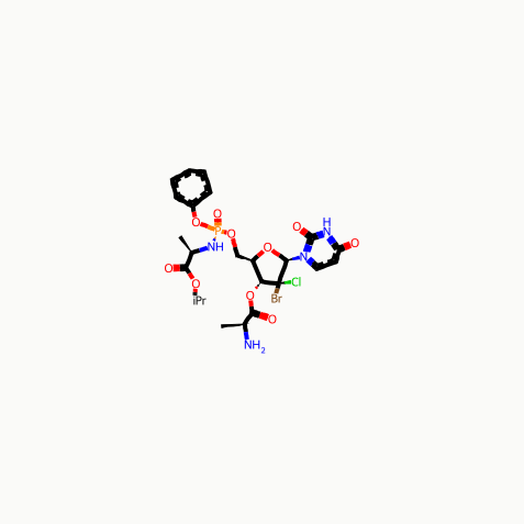 CC(C)OC(=O)[C@@H](C)N[P@](=O)(OC[C@H]1O[C@@H](n2ccc(=O)[nH]c2=O)[C@](Cl)(Br)[C@@H]1OC(=O)[C@H](C)N)Oc1ccccc1